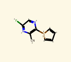 N#Cc1nc(F)cnc1[SH]1C=CC=C1